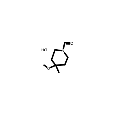 COC1(C)CCN(C=O)CC1.Cl